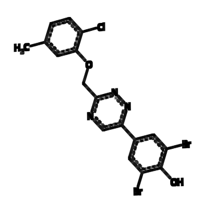 Cc1ccc(Cl)c(OCc2ncc(-c3cc(Br)c(O)c(Br)c3)nn2)c1